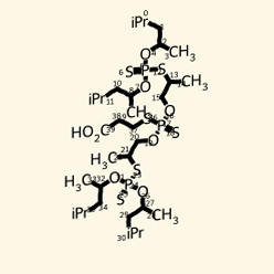 CC(C)CC(C)OP(=S)(OC(C)CC(C)C)SC(C)COP(=S)(OCC(C)SP(=S)(OC(C)CC(C)C)OC(C)CC(C)C)SCCC(=O)O